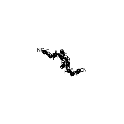 N#Cc1ccc(COc2cccc(-c3cc(F)c(Cc4nc5ccc(C(=O)OC(=O)c6ccc7nc(Cc8cc(F)c(-c9cccc(OCc%10ccc(C#N)cc%10F)n9)cc8F)n([C@@H]8COC[C@@H]8C(F)F)c7c6)cc5n4[C@@H]4COC[C@@H]4C(F)F)cc3F)n2)c(F)c1